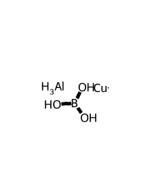 OB(O)O.[AlH3].[Cu]